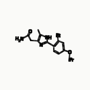 CCc1cc(OC(C)C)ccc1-c1nc(CC(N)=O)c(C)[nH]1